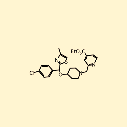 CCOC(=O)c1ccnc(CN2CCC(OC(c3ccc(Cl)cc3)c3nc(C)cs3)CC2)c1